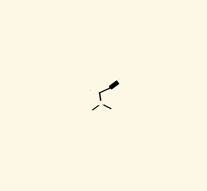 C#CCN(C)C.Cl